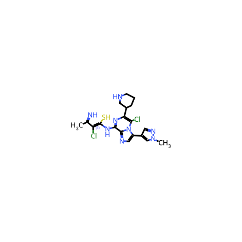 CC(=N)/C(Cl)=C(\S)Nc1nc(C2CCCNC2)c(Cl)n2c(-c3cnn(C)c3)cnc12